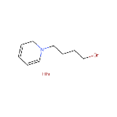 Br.BrCCCCN1C=CC=CC1